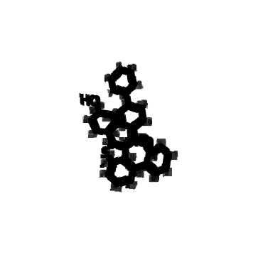 O=C(c1ccc(-c2ccccc2)cc1)c1c(-c2ccc(O)cc2)sc2cccc(-c3ccccc3O)c12